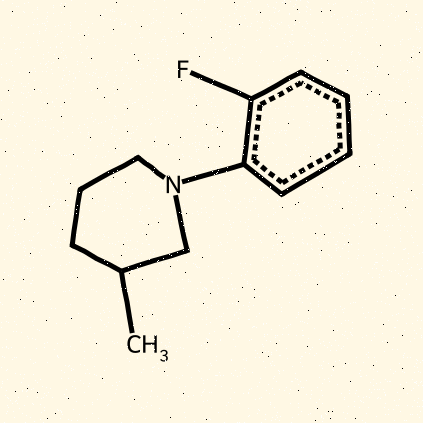 CC1CCCN(c2ccccc2F)C1